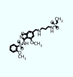 C=CS(=O)(=O)NCCCNCc1cc(OC)c2c(NS(=O)(=O)c3ccccc3OC)noc2c1